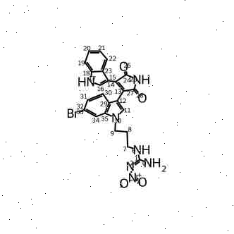 NC(=N[N+](=O)[O-])NCCCn1cc(C2=C(c3c[nH]c4ccccc34)C(=O)NC2=O)c2ccc(Br)cc21